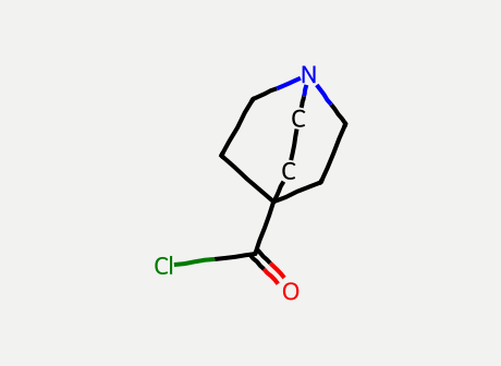 O=C(Cl)C12CCN(CC1)CC2